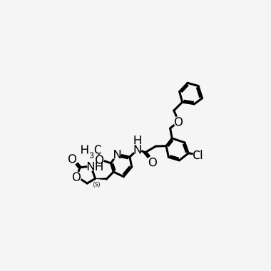 COc1nc(NC(=O)Cc2ccc(Cl)cc2COCc2ccccc2)ccc1C[C@H]1COC(=O)N1